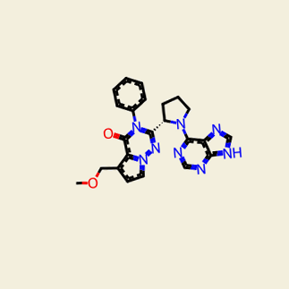 COCc1ccn2nc([C@@H]3CCCN3c3ncnc4[nH]cnc34)n(-c3ccccc3)c(=O)c12